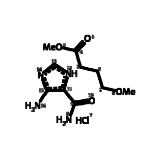 COCCCC(=O)OC.Cl.NC(=O)c1[nH]cnc1N